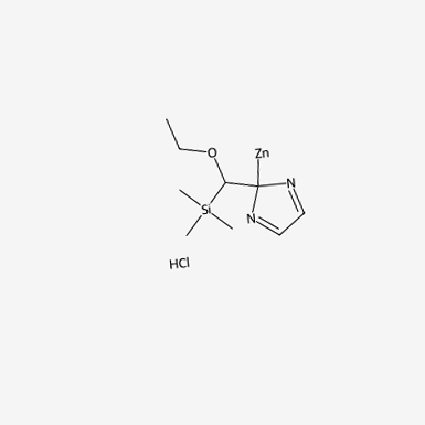 CCOC([C]1([Zn])N=CC=N1)[Si](C)(C)C.Cl